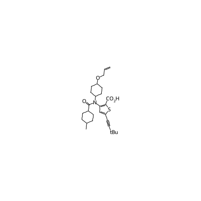 C=CCOC1CCC(N(C(=O)C2CCC(C)CC2)c2cc(C#CC(C)(C)C)sc2C(=O)O)CC1